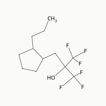 CCCC1CCCC1CC(O)(C(F)(F)F)C(F)(F)F